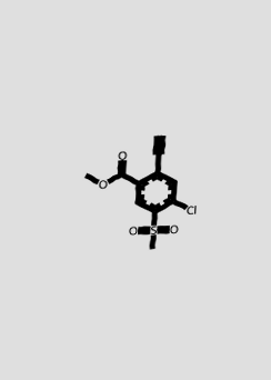 C#Cc1cc(Cl)c(S(C)(=O)=O)cc1C(=O)OC